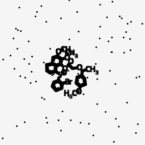 COc1ccc(C(C)OCC(=O)Oc2c(OC)c(OC)cc3cccc([S+]([O-])c4ccccc4Br)c23)cc1